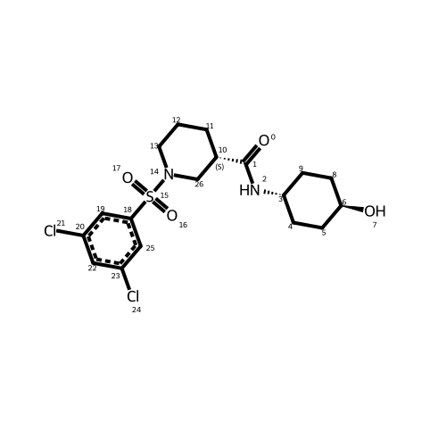 O=C(N[C@H]1CC[C@H](O)CC1)[C@H]1CCCN(S(=O)(=O)c2cc(Cl)cc(Cl)c2)C1